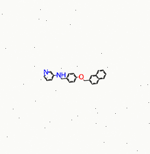 c1cncc(NCc2ccc(OCc3ccc4ccccc4c3)cc2)c1